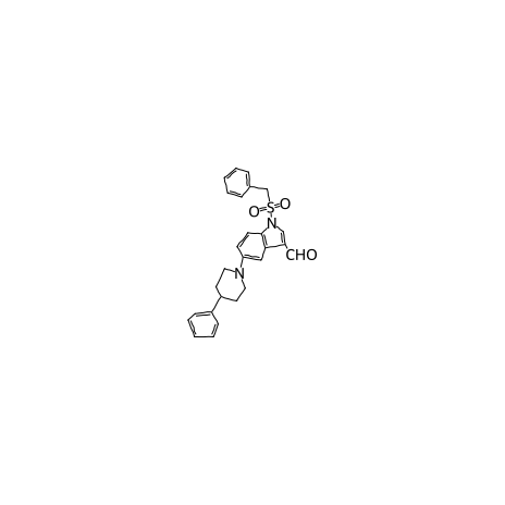 O=Cc1cn(S(=O)(=O)Cc2ccccc2)c2ccc(N3CCC(c4ccccc4)CC3)cc12